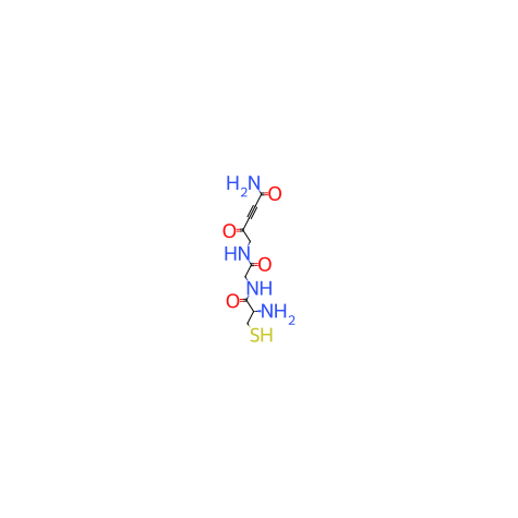 NC(=O)C#CC(=O)CNC(=O)CNC(=O)[C@@H](N)CS